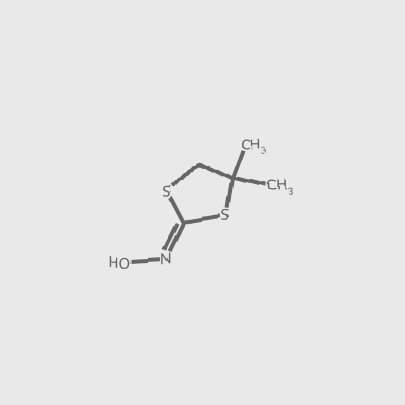 CC1(C)CS/C(=N\O)S1